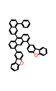 c1ccc(-c2cccc3ccc(-c4c5cccc(-c6ccc7oc8ccccc8c7c6)c5cc5c(-c6ccc7oc8ccccc8c7c6)cccc45)cc23)cc1